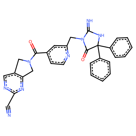 N#Cc1ncc2c(n1)CN(C(=O)c1ccnc(CN3C(=N)NC(c4ccccc4)(c4ccccc4)C3=O)c1)C2